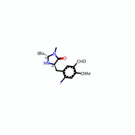 COc1cc(I)c(C[C@H]2N[C@H](C(C)(C)C)N(C)C2=O)cc1C=O